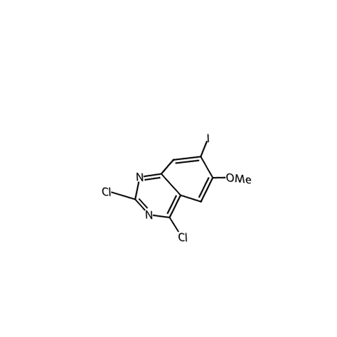 COc1cc2c(Cl)nc(Cl)nc2cc1I